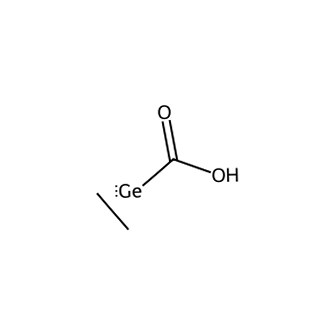 CC.O=[C](O)[Ge]